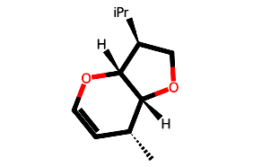 CC(C)[C@H]1CO[C@H]2[C@@H]1OC=C[C@H]2C